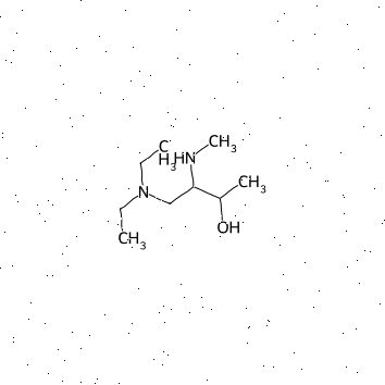 CCN(CC)CC(NC)C(C)O